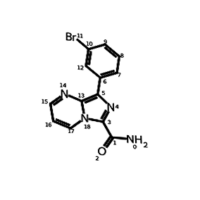 NC(=O)c1nc(-c2cccc(Br)c2)c2ncccn12